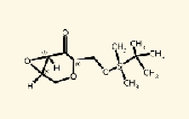 CC(C)(C)[Si](C)(C)OC[C@H]1OC[C@@H]2O[C@@H]2C1=O